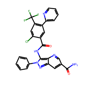 NC(=O)c1cnc2c(NC(=O)c3cc(-c4ccccn4)c(C(F)(F)F)cc3Cl)n(-c3ccccc3)nc2c1